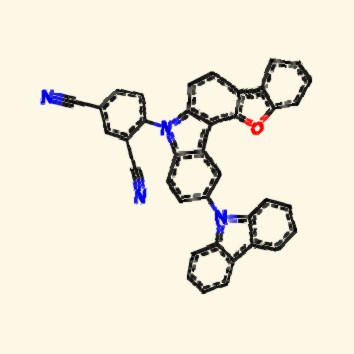 N#Cc1ccc(-n2c3ccc(-n4c5ccccc5c5ccccc54)cc3c3c4oc5ccccc5c4ccc32)c(C#N)c1